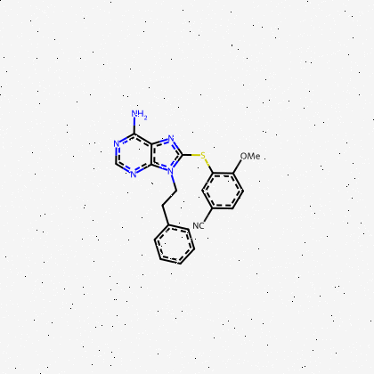 COc1ccc(C#N)cc1Sc1nc2c(N)ncnc2n1CCc1ccccc1